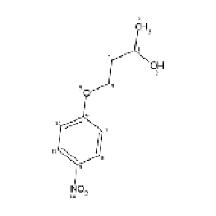 CC(O)CCOc1ccc([N+](=O)[O-])cc1